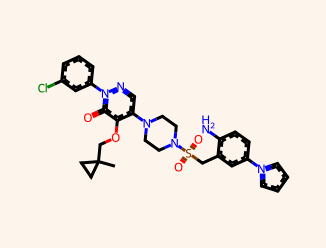 CC1(COc2c(N3CCN(S(=O)(=O)Cc4cc(-n5cccc5)ccc4N)CC3)cnn(-c3cccc(Cl)c3)c2=O)CC1